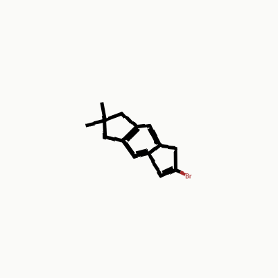 CC1(C)Cc2cc3c(cc2C1)CC(Br)=C3